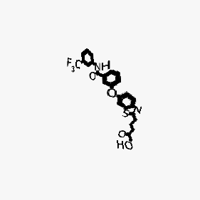 O=C(CO)CCCc1nc2ccc(Oc3cccc(C(=O)Nc4cccc(C(F)(F)F)c4)c3)cc2s1